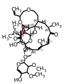 C=CC1COCC[C@H]2C[C@@H](C)C(=O)/C=C/C(C)=C/[C@H](CO[C@@H]3OC=C(O)C(OC)C3OC)[C@@H](I)OC(=O)C[C@@H](O1)[C@H](C)[C@H]2O[C@@H]1OC(C)[C@@H](O)C(N(C)C)C1O